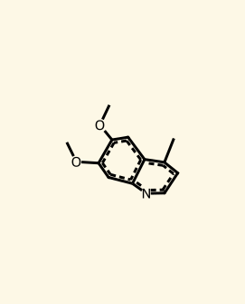 COc1cc2nccc(C)c2cc1OC